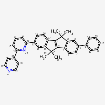 CC1(C)C2=C(c3ccc(-c4ccccc4)cc31)C(C)(C)c1cc(-c3cccc(-c4ccncc4)n3)ccc12